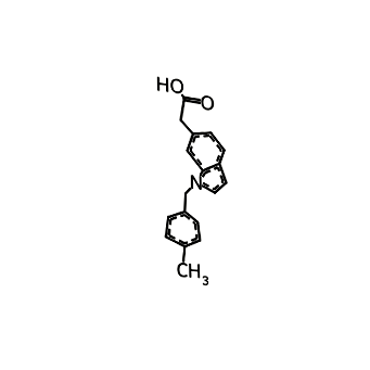 Cc1ccc(Cn2ccc3ccc(CC(=O)O)cc32)cc1